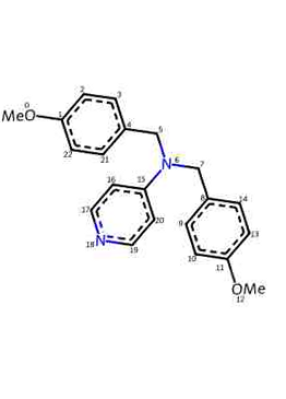 COc1ccc(CN(Cc2ccc(OC)cc2)c2ccncc2)cc1